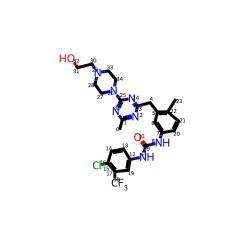 Cc1nc(Cc2cc(NC(=O)Nc3ccc(Cl)c(C(F)(F)F)c3)ccc2C)nc(N2CCN(CCO)CC2)n1